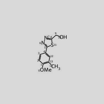 COc1ccc(-c2nnc(CO)s2)cc1C